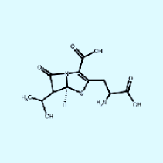 CC(O)C1C(=O)N2C(C(=O)O)=C(CC(N)C(=O)O)S[C@@H]12